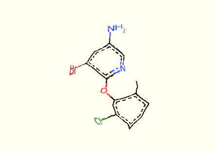 Cc1cccc(Cl)c1Oc1ncc(N)cc1Br